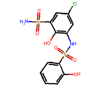 NS(=O)(=O)c1cc(Cl)cc(NS(=O)(=O)c2ccccc2O)c1O